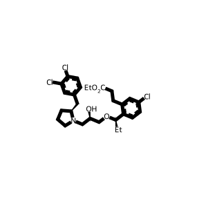 CCOC(=O)CCc1cc(Cl)ccc1[C@@H](CC)OC[C@H](O)CN1CCC[C@H]1Cc1ccc(Cl)c(Cl)c1